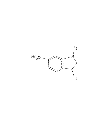 CCC1CN(CC)c2cc(C(=O)O)ccc21